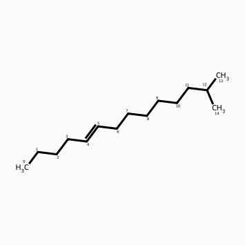 CCCCC=CCCCCCC[C](C)C